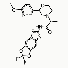 COc1ccc(C2CN([C@@H](C)C(=O)Nc3nc4cc5c(cc4s3)OC(F)(F)O5)CCO2)cn1